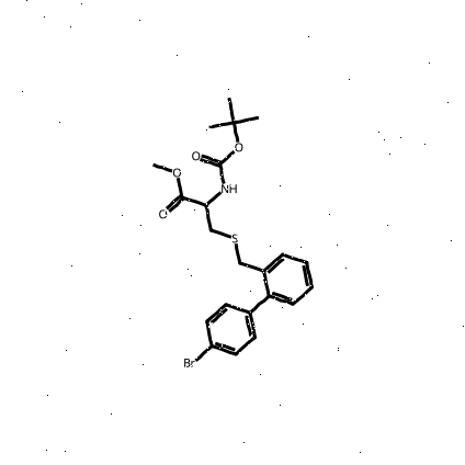 COC(=O)C(CSCc1ccccc1-c1ccc(Br)cc1)NC(=O)OC(C)(C)C